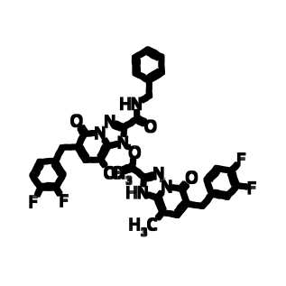 Cc1cc(Cc2ccc(F)c(F)c2)c(=O)n2nc(C(=O)On3c(C(=O)NCc4ccccc4)nn4c(=O)c(Cc5ccc(F)c(F)c5)cc(C)c34)[nH]c12